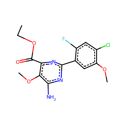 CCOC(=O)c1nc(-c2cc(OC)c(Cl)cc2F)nc(N)c1OC